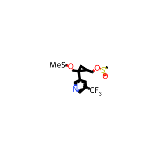 CSOCC1(c2cncc(C(F)(F)F)c2)CC1COS(C)=O